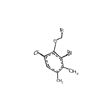 Cc1cc(Cl)c(OCF)c(Br)c1C